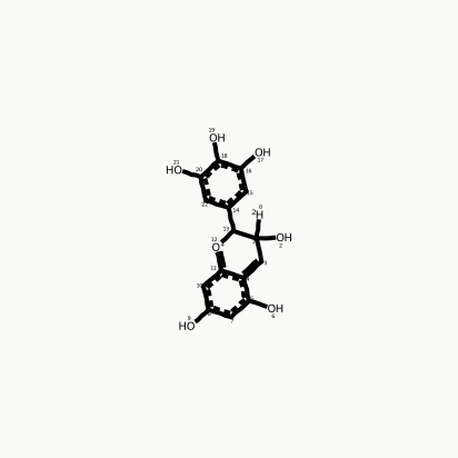 [2H]C1(O)C=c2c(O)cc(O)cc2=[O+]C1c1cc(O)c(O)c(O)c1